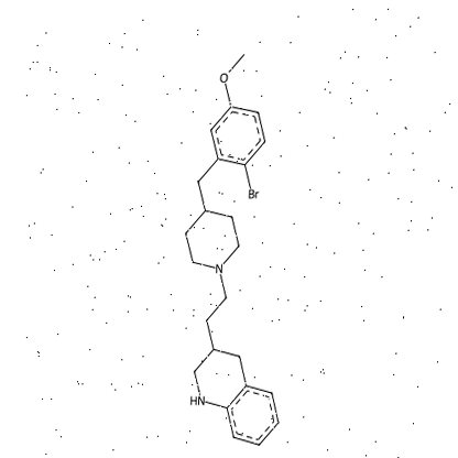 COc1ccc(Br)c(CC2CCN(CCC3CNc4ccccc4C3)CC2)c1